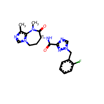 Cc1ncn2c1N(C)C(=O)[C@H](NC(=O)c1ncn(Cc3ccccc3F)n1)CC2